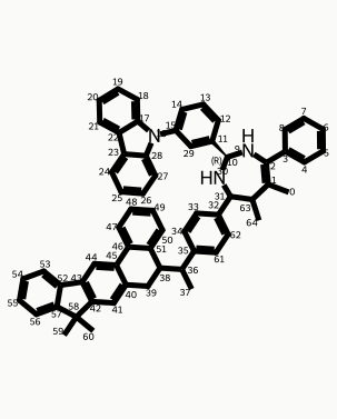 CC1=C(c2ccccc2)N[C@H](c2cccc(-n3c4ccccc4c4ccccc43)c2)NC(c2ccc(C(C)C3Cc4cc5c(cc4-c4ccccc43)-c3ccccc3C5(C)C)cc2)C1C